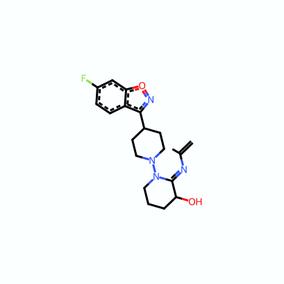 C=C(C)/N=C1/C(O)CCCN1N1CCC(c2noc3cc(F)ccc23)CC1